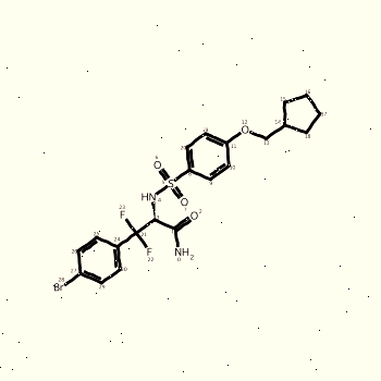 NC(=O)[C@H](NS(=O)(=O)c1ccc(OCC2CCCC2)cc1)C(F)(F)c1ccc(Br)cc1